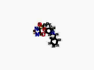 CCCS(=O)(=O)c1nsnc1OC1CC2CC1N(Cc1ccccc1)C2